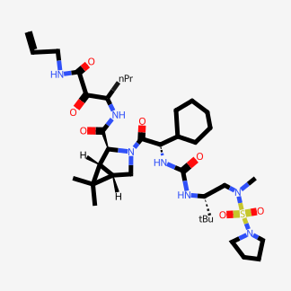 C=CCNC(=O)C(=O)C(CCC)NC(=O)[C@@H]1[C@@H]2[C@H](CN1C(=O)[C@@H](NC(=O)N[C@H](CN(C)S(=O)(=O)N1CCCC1)C(C)(C)C)C1CCCCC1)C2(C)C